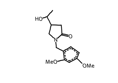 COc1ccc(CN2CC(C(C)O)CC2=O)c(OC)c1